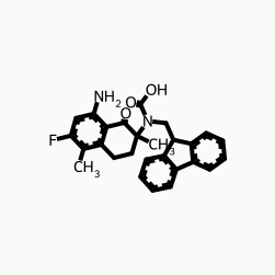 Cc1c(F)cc(N)c2c1CCC(C)(N(CC1c3ccccc3-c3ccccc31)C(=O)O)C2=O